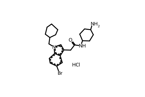 Cl.NC1CCC(NC(=O)Cc2cn(CC3CCCCC3)c3ccc(Br)cc23)CC1